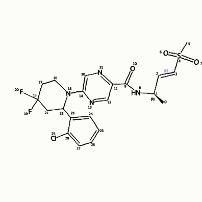 C[C@H](/C=C/S(C)(=O)=O)NC(=O)c1cnc(N2CCC(F)(F)CC2c2ccccc2Cl)cn1